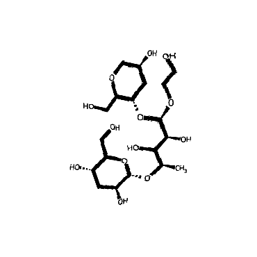 C[C@@H](O[C@H]1OC(CO)[C@@H](O)C[C@@H]1O)C(O)[C@H](O)[C@H](OCCO)O[C@H]1C[C@H](O)COC1CO